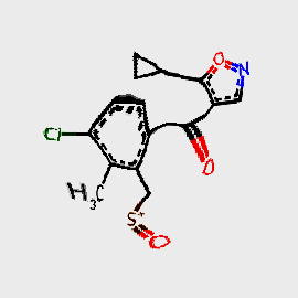 Cc1c(Cl)ccc(C(=O)c2cnoc2C2CC2)c1C[S+]=O